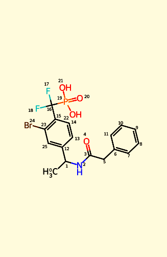 CC(NC(=O)Cc1ccccc1)c1ccc(C(F)(F)P(=O)(O)O)c(Br)c1